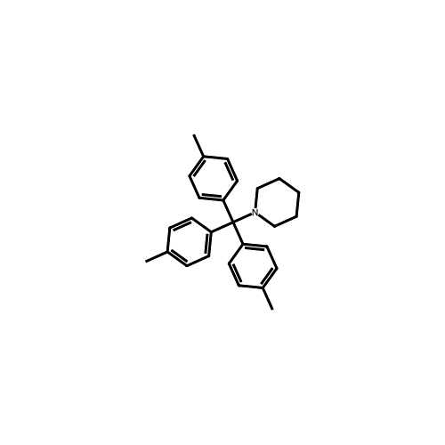 Cc1ccc(C(c2ccc(C)cc2)(c2ccc(C)cc2)N2CCCCC2)cc1